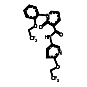 O=C(Nc1ccc(OCC(F)(F)F)nc1)c1cccn(-c2ccccc2OCC(F)(F)F)c1=O